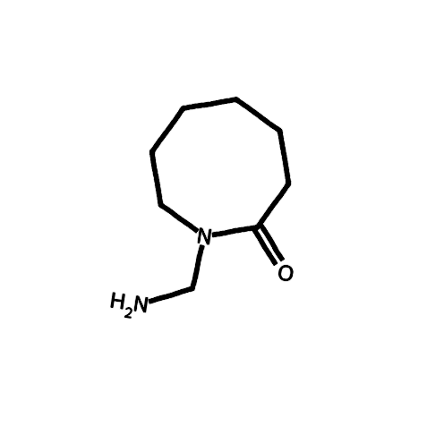 NCN1CCCCCCC1=O